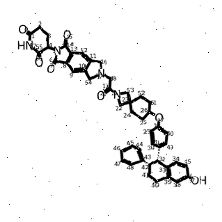 O=C1CCC(N2C(=O)c3cc4c(cc3C2=O)CN(CC(=O)N2CC3(CCC(Oc5ccc([C@@H]6c7ccc(O)cc7CC[C@@H]6c6ccccc6)cc5)CC3)C2)C4)C(=O)N1